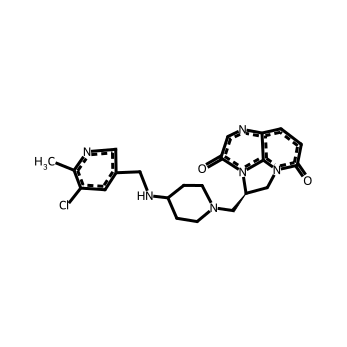 Cc1ncc(CNC2CCN(C[C@@H]3Cn4c(=O)ccc5ncc(=O)n3c54)CC2)cc1Cl